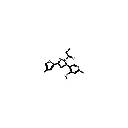 CCC(=O)N1N=C(c2cc(C)cs2)CC1c1cnc(C)cc1OC